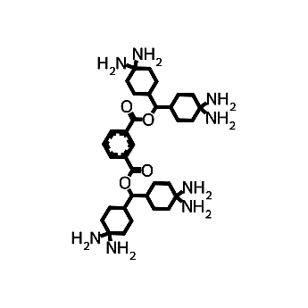 NC1(N)CCC(C(OC(=O)c2cccc(C(=O)OC(C3CCC(N)(N)CC3)C3CCC(N)(N)CC3)c2)C2CCC(N)(N)CC2)CC1